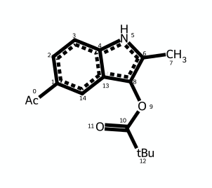 CC(=O)c1ccc2[nH]c(C)c(OC(=O)C(C)(C)C)c2c1